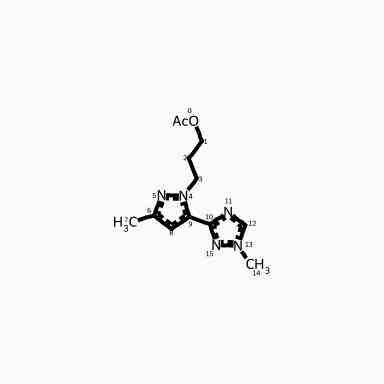 CC(=O)OCCCn1nc(C)cc1-c1ncn(C)n1